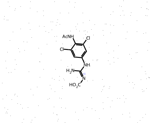 CC(=O)Nc1c(Cl)cc(N/C(N)=N/C(=O)O)cc1Cl